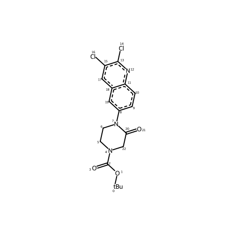 CC(C)(C)OC(=O)N1CCN(c2ccc3nc(Cl)c(Cl)cc3c2)C(=O)C1